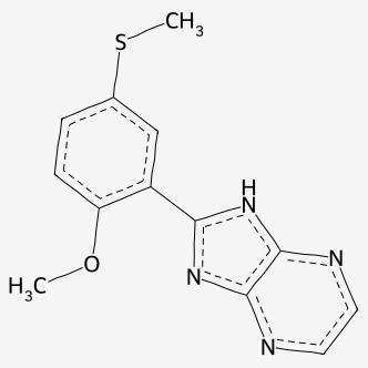 COc1ccc(SC)cc1-c1nc2nccnc2[nH]1